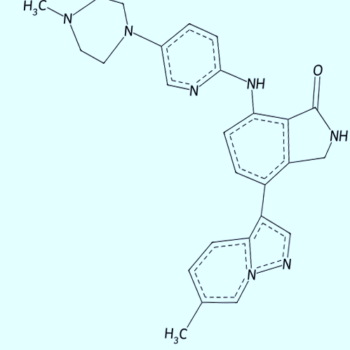 Cc1ccc2c(-c3ccc(Nc4ccc(N5CCN(C)CC5)cn4)c4c3CNC4=O)cnn2c1